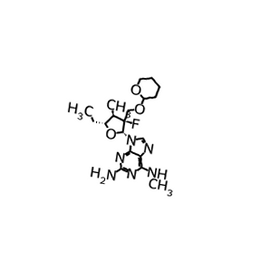 CC[C@H]1O[C@@H](n2cnc3c(NC)nc(N)nc32)[C@@](F)(COC2CCCCO2)[C@@H]1C